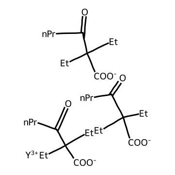 CCCC(=O)C(CC)(CC)C(=O)[O-].CCCC(=O)C(CC)(CC)C(=O)[O-].CCCC(=O)C(CC)(CC)C(=O)[O-].[Y+3]